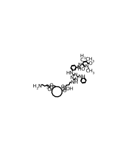 CCn1c(O)c(/N=N/c2cccc(Nc3nc(NCCC[Si]4(O)OC5CCCCCCC6O[Si]7(CCCN)OC(CC5O4)C6O7)nc(Nc4ccccc4)n3)c2)c(C)c(C)c1=O